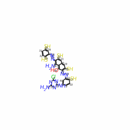 Nc1nc(Cl)nc(Nc2ccc(S)c(/N=N/c3c(S)cc4cc(S)c(/N=N/c5cc(S)ccc5S)c(N)c4c3O)c2)n1